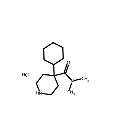 CN(C)C(=O)C1(C2CCCCC2)CCNCC1.Cl